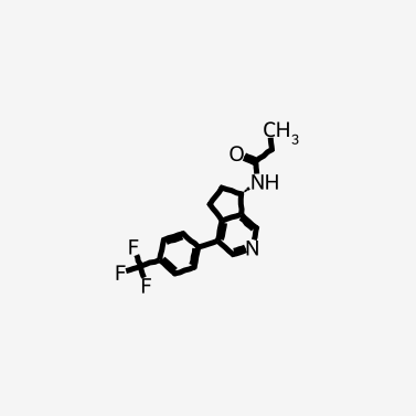 CCC(=O)N[C@H]1CCc2c(-c3ccc(C(F)(F)F)cc3)cncc21